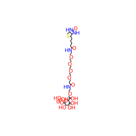 O=C(CCCCC1SCC2NC(=O)NC21)NCCOCCOCCOCCOCCC(=O)NCCOC[C@@H](O)C1O[C@@H](OP(=O)(O)O)C(O)C(O)[C@@H]1O